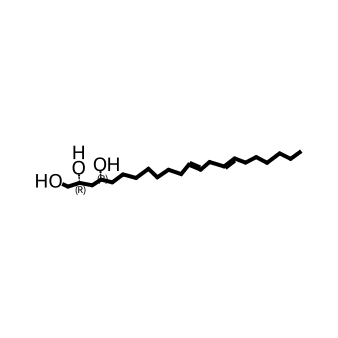 CCCCCCC=CCC=CCCCCCCC[C@@H](O)C[C@@H](O)CO